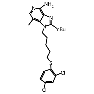 CCCCc1nc2c(N)ncc(C)c2n1CCCCCSc1ccc(Cl)cc1Cl